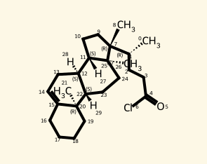 C[C@H](CCC(=O)Cl)[C@@]1(C)CC[C@H]2[C@@H]3CC=C4CCCC[C@]4(C)[C@H]3CC[C@@]21C